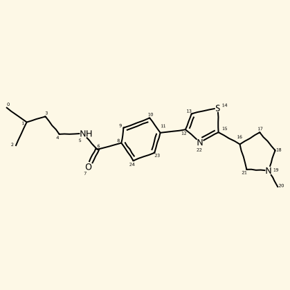 CC(C)CCNC(=O)c1ccc(-c2csc(C3CCN(C)C3)n2)cc1